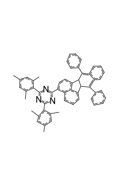 Cc1cc(C)c(-c2nc(-c3c(C)cc(C)cc3C)nc(-c3ccc4c5c(cccc35)C3C(c5ccccc5)=c5ccccc5=C(c5ccccc5)C43)n2)c(C)c1